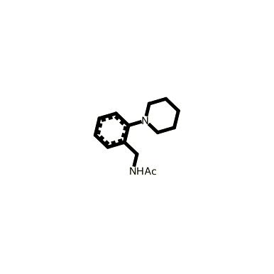 CC(=O)NCc1ccccc1N1CCCCC1